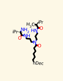 CCCCCCCCCCCCCCCC(=O)N(CCCNC(=O)[C@@H](C)C(C)C)CCCNC(=O)[C@@H](N)C(C)C